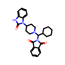 O=C1c2ccccc2C(=O)N1C(C1CCCCC1)N1CCC(n2c(=O)[nH]c3ccccc32)CC1